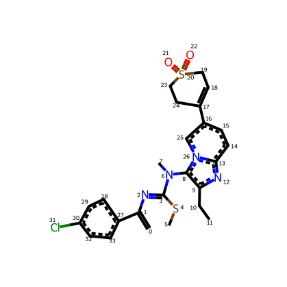 C=C(/N=C(\SC)N(C)c1c(CC)nc2ccc(C3=CCS(=O)(=O)CC3)cn12)c1ccc(Cl)cc1